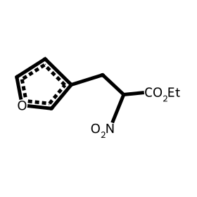 CCOC(=O)C(Cc1ccoc1)[N+](=O)[O-]